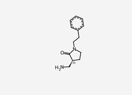 NC[C@@H]1CCN(CCc2ccccc2)C1=O